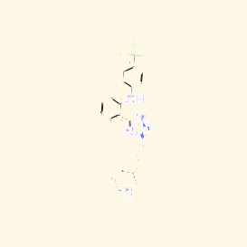 FC(F)(F)c1ccc(Nc2ccccc2-c2nnn(CCOC3CCCNC3)n2)cc1